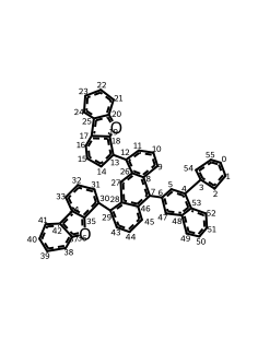 c1ccc(-c2cc(-c3c4cccc(-c5cccc6c5oc5ccccc56)c4cc4c(-c5cccc6c5oc5ccccc56)cccc34)cc3ccccc23)cc1